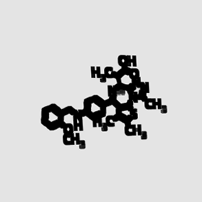 COc1ccccc1CNc1ccc(C2=N[C@@H](C(C)C(=O)O)c3nnc(C)n3-c3sc(C)c(C)c32)cc1